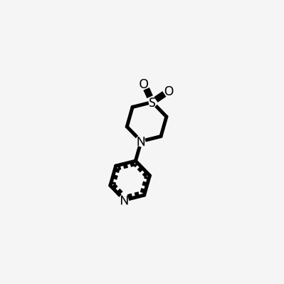 O=S1(=O)CCN(c2ccncc2)CC1